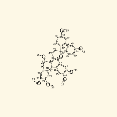 COC(=O)c1c2c(c3cc(OC)c(OC)cc3c1-c1ccc(OC)c(OC)c1)OC(c1ccc(OC)cc1)(c1ccc(OC)cc1)C=C2